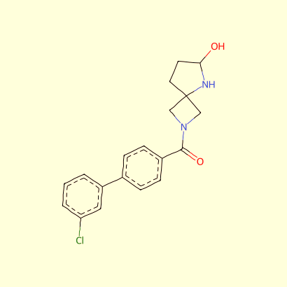 O=C(c1ccc(-c2cccc(Cl)c2)cc1)N1CC2(CCC(O)N2)C1